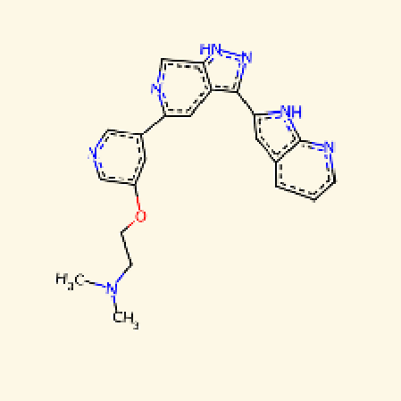 CN(C)CCOc1cncc(-c2cc3c(-c4cc5cccnc5[nH]4)n[nH]c3cn2)c1